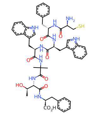 C[C@@H](O)[C@H](NC(=O)C(C)(C)NC(=O)[C@@H](Cc1c[nH]c2ccccc12)NC(=O)[C@H](Cc1c[nH]c2ccccc12)NC(=O)[C@H](Cc1ccccc1)NC(=O)[C@@H](N)CS)C(=O)N[C@@H](Cc1ccccc1)C(=O)O